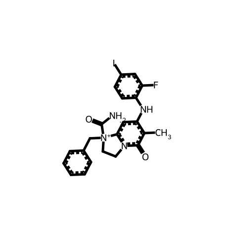 Cc1c(Nc2ccc(I)cc2F)[c]c2n(c1=O)CC[N+]2(Cc1ccccc1)C(N)=O